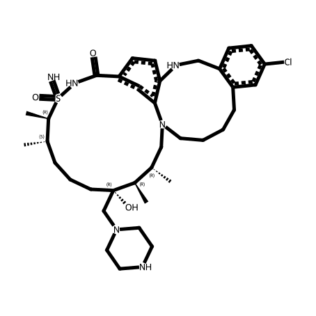 C[C@@H]1[C@@H](C)CN2CCCCc3cc(Cl)ccc3CNc3ccc(cc32)C(=O)NS(=N)(=O)[C@H](C)[C@@H](C)CCC[C@]1(O)CN1CCNCC1